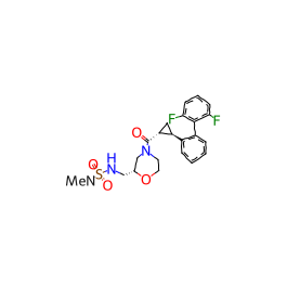 CNS(=O)(=O)NC[C@@H]1CN(C(=O)[C@@H]2C[C@H]2c2ccccc2-c2c(F)cccc2F)CCO1